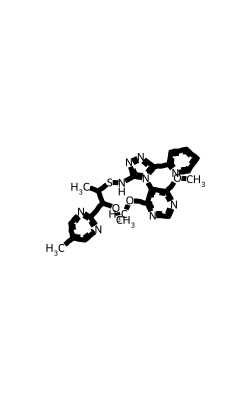 COc1ncnc(OC)c1-n1c(NSC(C)C(OC)c2ncc(C)cn2)nnc1-c1ccccn1